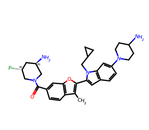 Cc1c(-c2cc3ccc(N4CCC(N)CC4)cc3n2CC2CC2)oc2cc(C(=O)N3C[C@H](N)C[C@@H](F)C3)ccc12